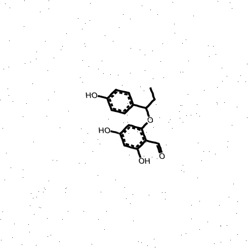 CCC(Oc1cc(O)cc(O)c1C=O)c1ccc(O)cc1